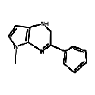 In1ccc2c1N=C(c1ccccc1)CN2